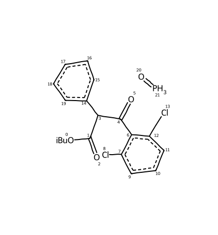 CC(C)COC(=O)C(C(=O)c1c(Cl)cccc1Cl)c1ccccc1.O=[PH3]